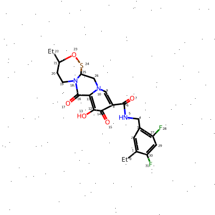 CCc1cc(CNC(=O)c2cn3c(c(O)c2=O)C(=O)N2CCC(CC)OSC2C3)c(F)cc1F